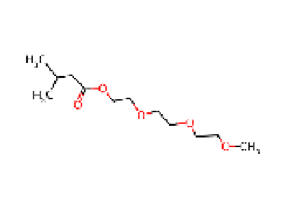 COCCOCCOCCOC(=O)CC(C)C